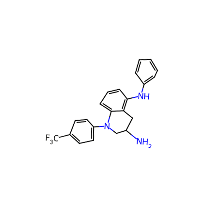 NC1Cc2c(Nc3ccccc3)cccc2N(c2ccc(C(F)(F)F)cc2)C1